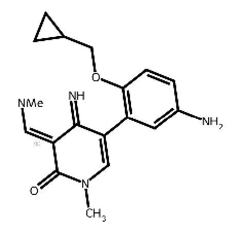 CN/C=C1\C(=N)C(c2cc(N)ccc2OCC2CC2)=CN(C)C1=O